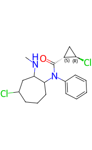 CNC1CC(Cl)CCCC1N(C(=O)[C@@H]1C[C@H]1Cl)c1ccccc1